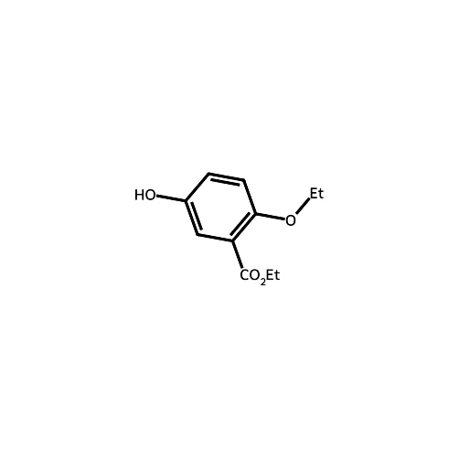 CCOC(=O)c1cc(O)ccc1OCC